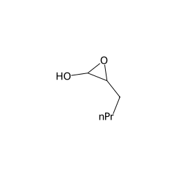 CCCCC1OC1O